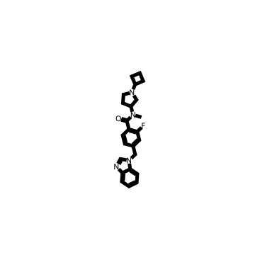 CN(C(=O)c1ccc(Cn2cnc3ccccc32)cc1F)C1CCN(C2CCC2)C1